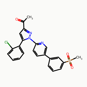 CC(=O)c1cc(-c2ccccc2Cl)n(-c2ccc(-c3cccc(S(C)(=O)=O)c3)cn2)n1